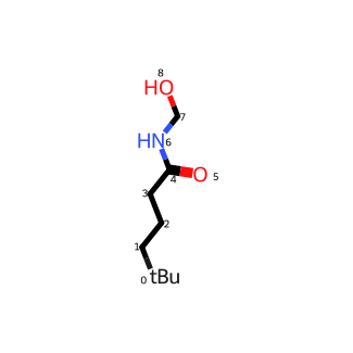 CC(C)(C)CCCC(=O)NCO